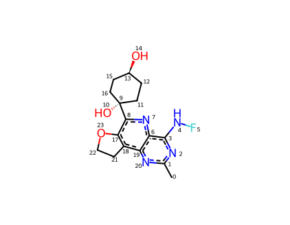 Cc1nc(NF)c2nc([C@]3(O)CC[C@H](O)CC3)c3c(c2n1)CCO3